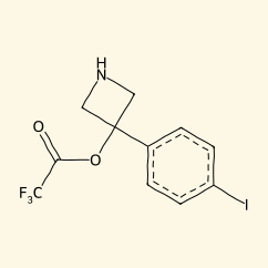 O=C(OC1(c2ccc(I)cc2)CNC1)C(F)(F)F